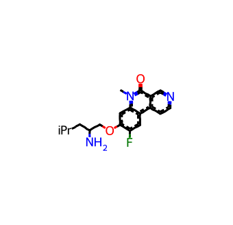 CC(C)CC(N)COc1cc2c(cc1F)c1ccncc1c(=O)n2C